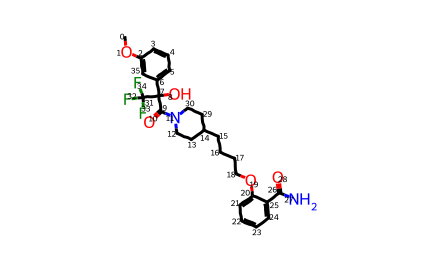 COc1cccc(C(O)(C(=O)N2CCC(CCCCOc3ccccc3C(N)=O)CC2)C(F)(F)F)c1